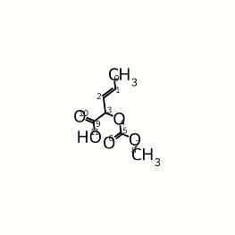 CC=CC(OC(=O)OC)C(=O)O